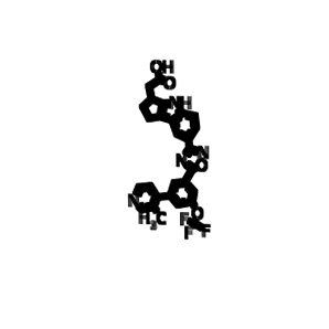 Cc1cnccc1-c1cc(OC(F)(F)F)cc(-c2nc(-c3ccc4[nH]c5c(c4c3)CCC5CC(=O)O)no2)c1